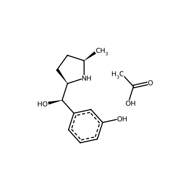 CC(=O)O.C[C@@H]1CC[C@H]([C@H](O)c2cccc(O)c2)N1